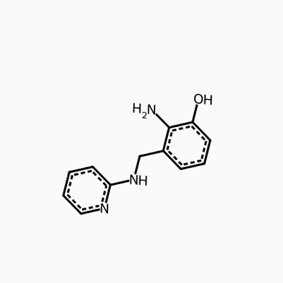 Nc1c(O)cccc1CNc1ccccn1